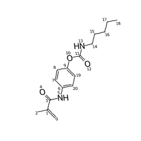 C=C(C)C(=O)Nc1ccc(OC(=O)NCCCCC)cc1